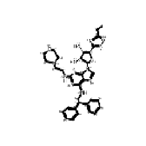 CCc1nc([C@H]2O[C@@H](n3cnc4c(NCC(c5ccccc5)c5ccccc5)nc(NCCN5CCOCC5)nc43)[C@H](O)[C@@H]2O)no1